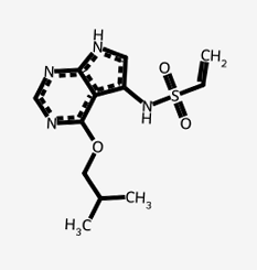 C=CS(=O)(=O)Nc1c[nH]c2ncnc(OCC(C)C)c12